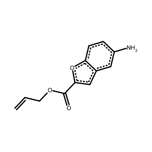 C=CCOC(=O)c1cc2cc(N)ccc2o1